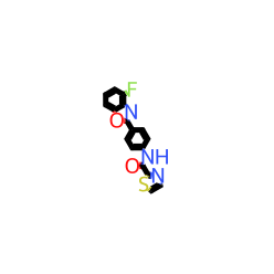 O=C(Nc1ccc(-c2nc3c(F)cccc3o2)cc1)c1nccs1